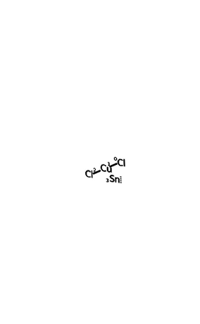 [Cl][Cu][Cl].[Sn]